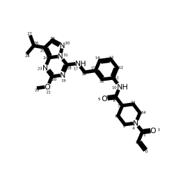 C=CC(=O)N1CCC(C(=O)Nc2cccc(CNc3nc(OC)nc4c(C(C)C)cnn34)c2)CC1